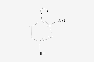 CC1=C(O)C=C(C(C)C)C[CH]1